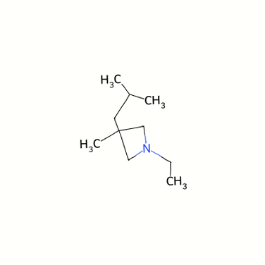 CCN1CC(C)(CC(C)C)C1